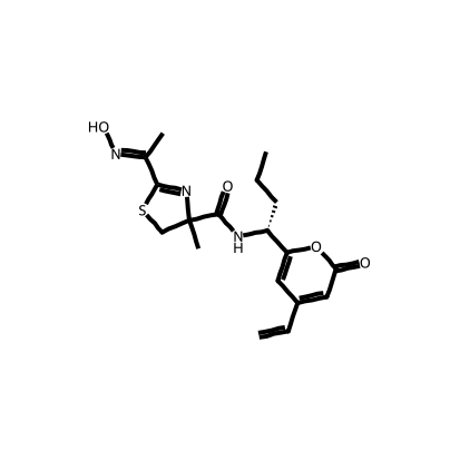 C=Cc1cc([C@@H](CCC)NC(=O)C2(C)CSC(/C(C)=N/O)=N2)oc(=O)c1